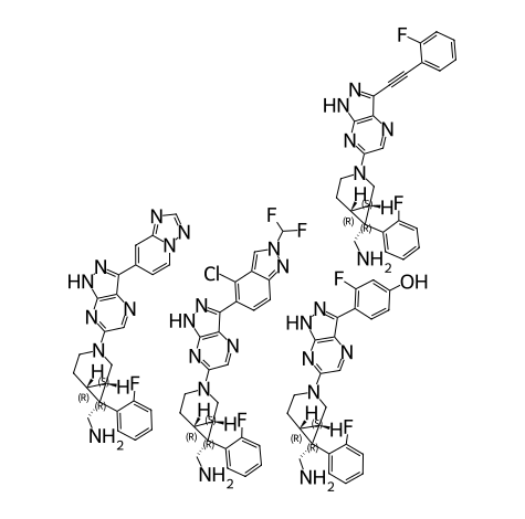 NC[C@]1(c2ccccc2F)[C@@H]2CCN(c3cnc4c(-c5ccc(O)cc5F)n[nH]c4n3)C[C@@H]21.NC[C@]1(c2ccccc2F)[C@@H]2CCN(c3cnc4c(-c5ccc6nn(C(F)F)cc6c5Cl)n[nH]c4n3)C[C@@H]21.NC[C@]1(c2ccccc2F)[C@@H]2CCN(c3cnc4c(-c5ccn6ncnc6c5)n[nH]c4n3)C[C@@H]21.NC[C@]1(c2ccccc2F)[C@@H]2CCN(c3cnc4c(C#Cc5ccccc5F)n[nH]c4n3)C[C@@H]21